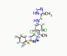 Cc1nc[nH]c1CNc1cc(Cl)c(C(C#N)c2ccc(Sc3ccc(F)cc3F)nn2)c(Cl)c1